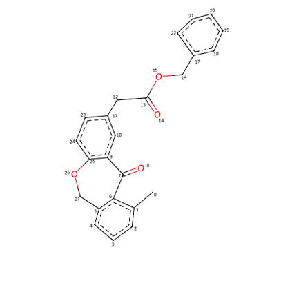 Cc1cccc2c1C(=O)c1cc(CC(=O)OCc3ccccc3)ccc1OC2